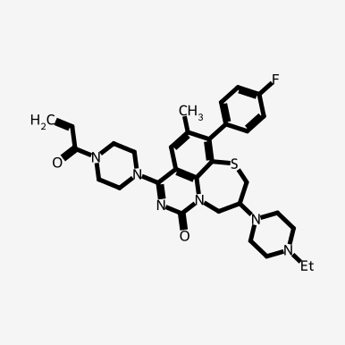 C=CC(=O)N1CCN(c2nc(=O)n3c4c(c(-c5ccc(F)cc5)c(C)cc24)SCC(N2CCN(CC)CC2)C3)CC1